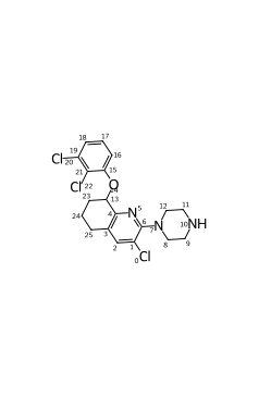 Clc1cc2c(nc1N1CCNCC1)C(Oc1cccc(Cl)c1Cl)CCC2